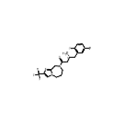 N[C@@H](CC(=O)N1CCCn2cc(C(F)(F)F)nc2C1)Cc1cc(F)ccc1F